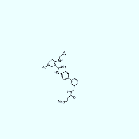 COCCC(=O)NCC1C=C(c2ccc(NC(=N)C3=C(NCC4CC4)CCN(C(C)=O)C3)cc2)C=CC1